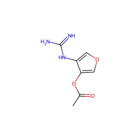 CC(=O)Oc1cocc1NC(=N)N